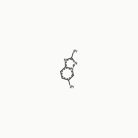 CC(C)c1ccc2nc(C(C)C)nn2c1